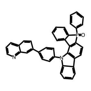 O=P1(c2ccccc2)c2ccccc2-c2c1ccc1c3ccccc3n(-c3ccc(-c4ccc5cccnc5c4)cc3)c21